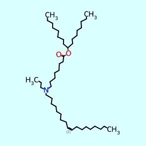 CCCCCCCC/C=C\CCCCCCCCN(CCC)CCCCCCCC(=O)OC(CCCCCCCC)CCCCCCCC